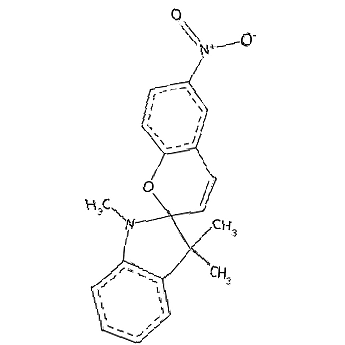 CN1c2ccccc2C(C)(C)C12C=Cc1cc([N+](=O)[O-])ccc1O2